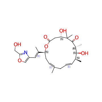 C/C1=C/C[C@@H](/C(C)=C/c2coc(CO)n2)OC(=O)C[C@H](O)C(C)(C)C(=O)[C@H](C)[C@@H](O)[C@@H](C)/C=C/C1